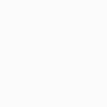 CC(=O)c1ccc(NC(=O)C(F)(F)F)s1